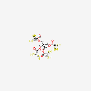 O=C(OCC(COC(=O)C(S)S)(COC(=O)C(S)S)COC(=O)C(S)S)C(S)S